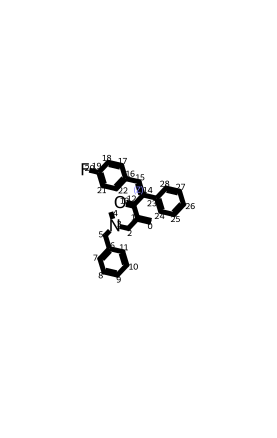 C=C(CN(C)Cc1ccccc1)C(=O)/C(=C\c1ccc(F)cc1)c1ccccc1